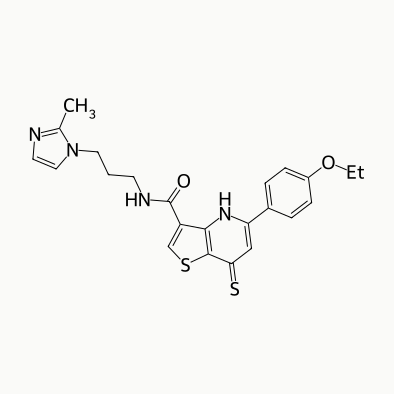 CCOc1ccc(-c2cc(=S)c3scc(C(=O)NCCCn4ccnc4C)c3[nH]2)cc1